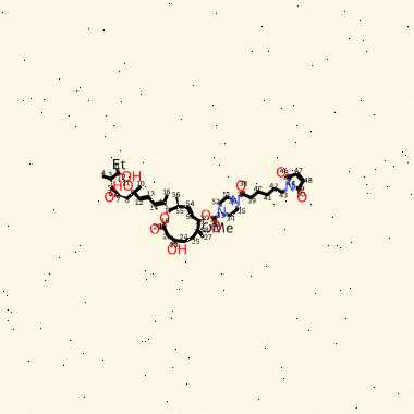 CCC(O)C(C)[C@H]1O[C@@H]1CC(C)(O)/C=C/C=C(\C)[C@H]1OC(=O)C[C@H](O)CC[C@@](C)(OC)[C@@H](OC(=O)N2CCN(C(=O)CCCCCN3C(=O)C=CC3=O)CC2)/C=C/[C@@H]1C